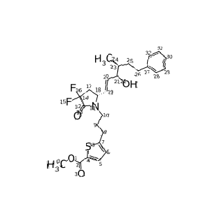 COC(=O)c1ccc(CCCN2C(=O)C(F)(F)C[C@@H]2/C=C/C(O)[C@@H](C)CCc2ccccc2)s1